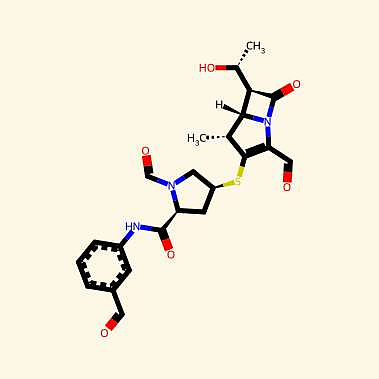 C[C@@H](O)[C@H]1C(=O)N2C(C=O)=C(S[C@H]3C[C@@H](C(=O)Nc4cccc(C=O)c4)N(C=O)C3)[C@H](C)[C@H]12